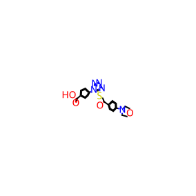 O=C(O)c1ccc(-n2nnnc2SCC(=O)c2ccc(N3CCOCC3)cc2)cc1